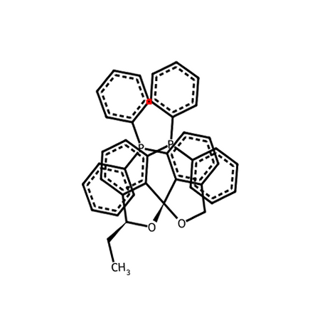 CC[C@@H]1O[C@@]2(OCc3cccc(P(c4ccccc4)c4ccccc4)c32)c2c1cccc2P(c1ccccc1)c1ccccc1